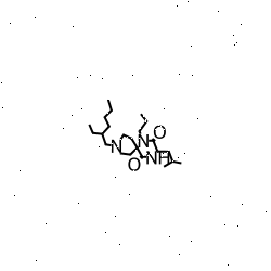 CCCCC(CC)CN1CCC2(CC1)C(=O)NC(CC(C)C)C(=O)N2CCC